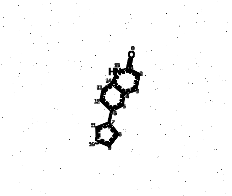 O=c1ccc2cc(-c3ccsc3)ccc2[nH]1